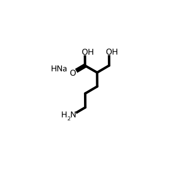 NCCCC(CO)C(=O)O.[NaH]